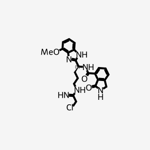 COc1cccc2[nH]c([C@H](CCCNC(=N)CCl)NC(=O)c3cccc4c3C(=O)NC4)nc12